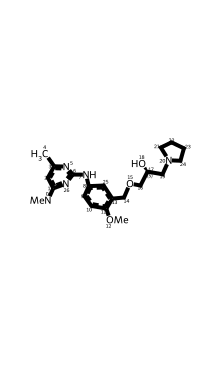 CNc1cc(C)nc(Nc2ccc(OC)c(COC[C@@H](O)CN3CCCC3)c2)n1